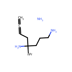 C=C=CCC(N)(CCC)CCCN.N